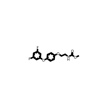 COC(=O)NCCOc1ccc(Oc2cc(F)cc(F)c2)cc1